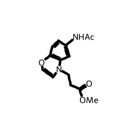 COC(=O)CCN1C=COc2ccc(NC(C)=O)cc21